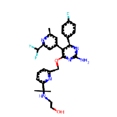 Cc1cc(-c2c(OCc3cccc(C(C)(C)NCCO)n3)nc(N)nc2-c2ccc(F)cc2)cc(C(F)F)n1